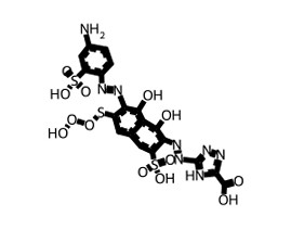 Nc1ccc(/N=N/c2c(SOOO)cc3cc(S(=O)(=O)O)c(/N=N/c4nnc(C(=O)O)[nH]4)c(O)c3c2O)c(S(=O)(=O)O)c1